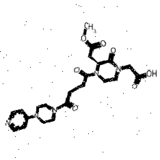 COC(=O)C[C@H]1C(=O)N(CC(=O)O)CCN1C(=O)CCC(=O)N1CCN(c2ccncc2)CC1